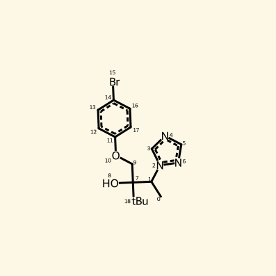 CC(n1cncn1)C(O)(COc1ccc(Br)cc1)C(C)(C)C